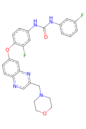 O=C(Nc1cccc(F)c1)Nc1ccc(Oc2ccc3ncc(CN4CCOCC4)nc3c2)c(F)c1